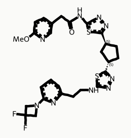 COc1ccc(CC(=O)Nc2nnc([C@H]3CC[C@H](c4nnc(NCCc5cccc(N6CC(F)(F)C6)n5)s4)C3)s2)cn1